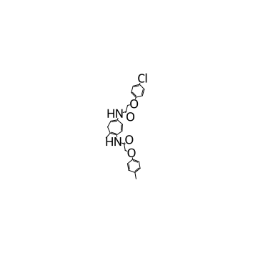 CC1=C(NC(=O)COc2ccc(C)cc2)C=CC(NC(=O)COc2ccc(Cl)cc2)=CC1